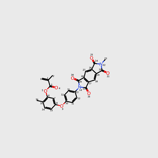 C=C(C)C(=O)Oc1cc(Oc2ccc(-n3c(=O)c4cc5c(=O)n(C)c(=O)c5cc4c3=O)cc2)ccc1C